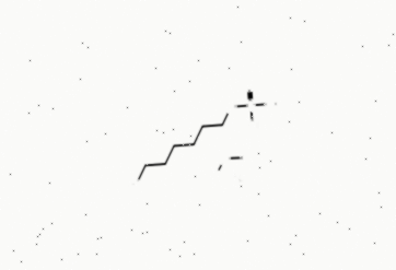 CCCCCCCCCCCCCCCCOP(=O)(O)O.CCOCC.[NaH]